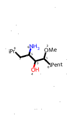 CCCC(C)C(OC)C(O)C(N)CC(C)C